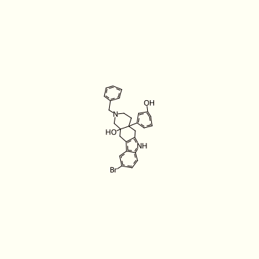 Oc1cccc(C23CCN(Cc4ccccc4)CC2(O)Cc2c([nH]c4ccc(Br)cc24)C3)c1